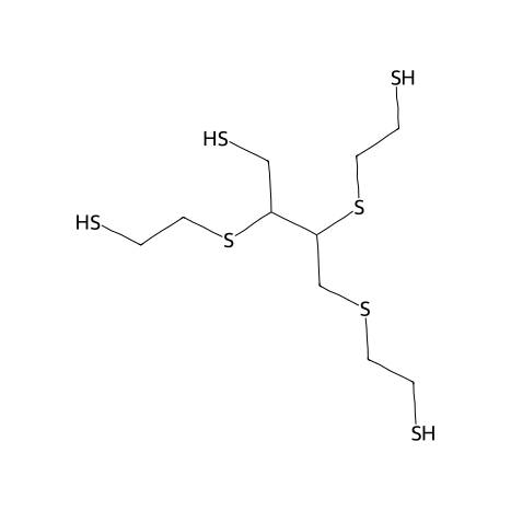 SCCSCC(SCCS)C(CS)SCCS